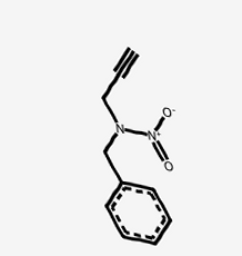 C#CCN(Cc1ccccc1)[N+](=O)[O-]